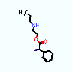 CCCNCCOC(=O)C(I)c1ccccc1